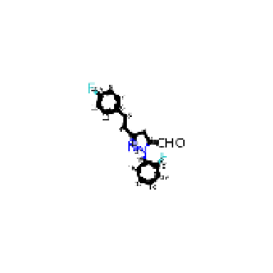 O=CC1CC(CCc2ccc(F)cc2)=NN1c1ccccc1F